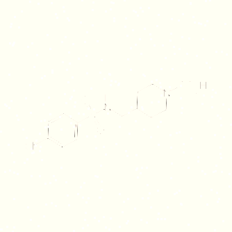 O=C(O)N1CCC(CNS(=O)(=O)c2ccc(Cl)cc2)CC1